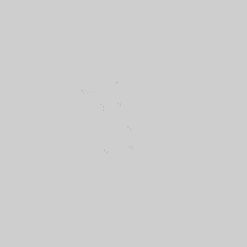 COc1cccc(F)c1-c1nccc(C(=O)Nc2ccc(F)cc2N2C[C@@H](N)C[C@H]2CO)n1